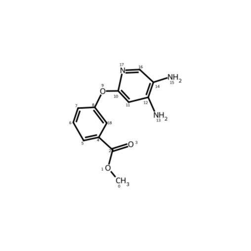 COC(=O)c1cccc(Oc2cc(N)c(N)cn2)c1